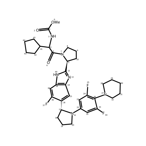 COC(=O)NC(C(=O)N1CCC[C@H]1c1nc2cc([C@H]3CCCN3c3cc(F)c(N4CCCCC4)c(F)c3)c(F)cc2[nH]1)C1CCCC1